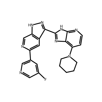 Fc1cncc(-c2cc3c(-c4nc5c(N6CCCCC6)ccnc5[nH]4)n[nH]c3cn2)c1